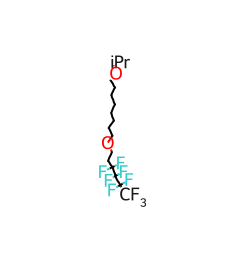 CC(C)OCCCCCCCCOCCC(F)(F)C(F)(F)C(F)(F)C(F)(F)F